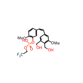 COc1ccc(/C=C\c2cc(CO)c(CO)c(OC)c2)cc1OP(=O)(O)OCC(F)(F)F